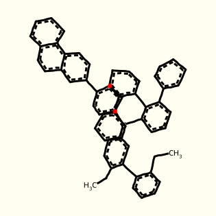 CCc1ccccc1-c1cc(N(c2ccc(-c3ccc4c(ccc5ccccc54)c3)cc2)c2cccc(-c3ccccc3)c2-c2ccccc2-c2ccccc2)ccc1CC